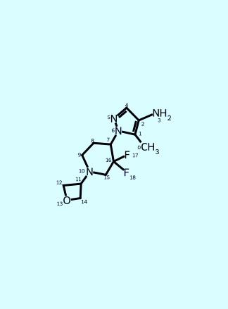 Cc1c(N)cnn1C1CCN(C2COC2)CC1(F)F